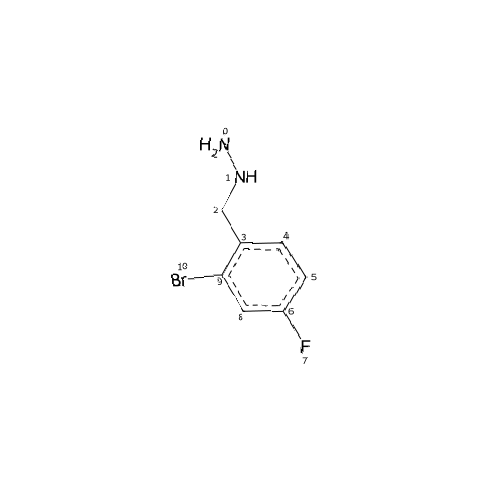 NNCc1ccc(F)cc1Br